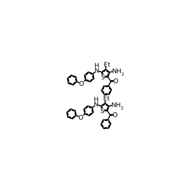 CCc1c(Nc2ccc(Oc3ccccc3)cc2)sc(C(=O)c2ccccc2)c1N.CCc1c(Nc2ccc(Oc3ccccc3)cc2)sc(C(=O)c2ccccc2)c1N